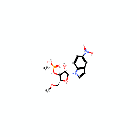 COC[C@H]1O[C@@H](n2ccc3cc([N+](=O)[O-])ccc32)[C@@H](O)C1O[P@](C)(=O)O